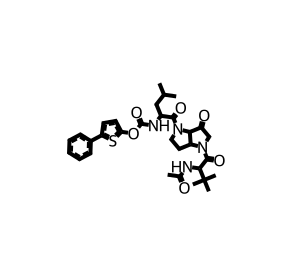 CC(=O)NC(C(=O)N1CC(=O)C2C1CCN2C(=O)C(CC(C)C)NC(=O)Oc1ccc(-c2ccccc2)s1)C(C)(C)C